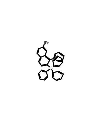 CC(C)c1ccc2ccc([Si](c3ccccc3)(c3ccccc3)c3ccccc3)c(-c3ccccc3)c2c1